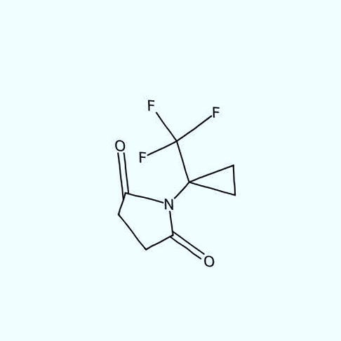 O=C1CCC(=O)N1C1(C(F)(F)F)CC1